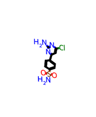 Nc1nc(Cl)cc(-c2ccc(S(N)(=O)=O)cc2)n1